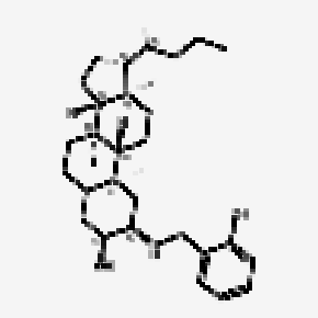 CCC[C@@H](C)[C@H]1CC[C@H]2[C@@H]3CCC4C[C@H](O)[C@H](NCc5ccccc5O)C[C@]4(C)[C@H]3CC[C@]12C